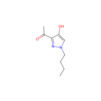 CCCCn1cc(O)c(C(C)=O)n1